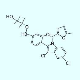 Cc1ccc(C2Oc3cc(BOC(C)(C)C(C)(C)O)ccc3-c3c(Cl)c4cc(Cl)ccc4n32)o1